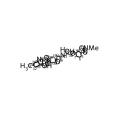 CNS(=O)(=O)c1cccc(OC[C@@H](O)CN[C@H]2COC3(CCN(S(=O)(=O)c4cnc5cc(C)ccc5c4O)CC3)C2)c1